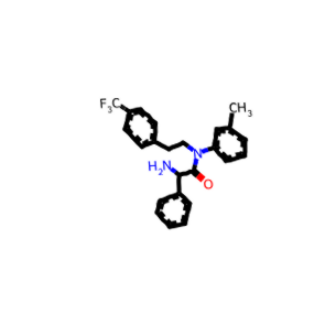 Cc1cccc(N(CCc2ccc(C(F)(F)F)cc2)C(=O)C(N)c2ccccc2)c1